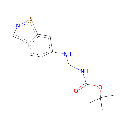 CC(C)(C)OC(=O)NCNc1ccc2cnsc2c1